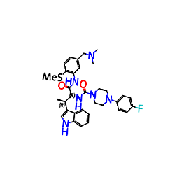 CSc1ccc(CN(C)C)cc1NC(=O)[C@H](NC(=O)N1CCN(c2ccc(F)cc2)CC1)[C@H](C)c1c[nH]c2ccccc12